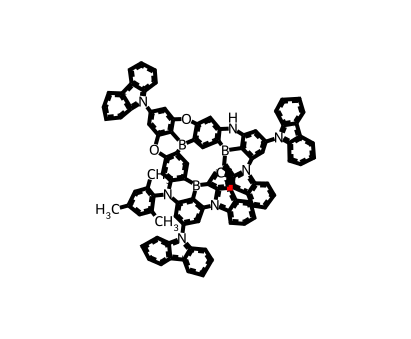 Cc1cc(C)c(N2c3cc4c(cc3B3c5c2cc(-n2c6ccccc6c6ccccc62)cc5-n2c5ccccc5c5cccc3c52)B2c3cc5c(cc3Oc3cc(-n6c7ccccc7c7ccccc76)cc(c32)O4)Nc2cc(-n3c4ccccc4c4ccccc43)cc3c2B5c2cccc4c5ccccc5n-3c24)c(C)c1